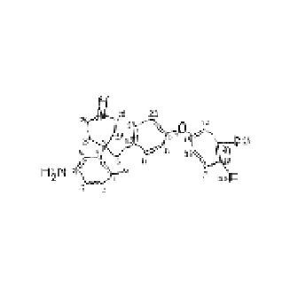 Cc1ccc(N)cc1C1(Cc2ccc(Oc3ccc(F)c(F)c3)cc2)CCNCC1